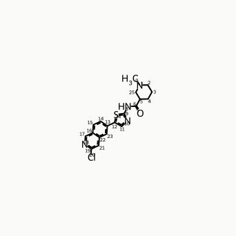 CN1CCCC(C(=O)Nc2ncc(-c3ccc4cnc(Cl)cc4c3)s2)C1